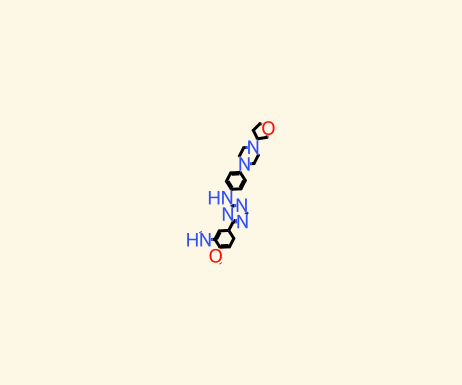 CNC1=CC(c2ncnc(Nc3ccc(N4CCN(C5CCOC5)CC4)cc3)n2)CC=C1OC